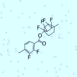 Cc1ccc(C(=O)OC23CCC(C)(CC2)C(F)(F)C3(F)F)c(F)c1F